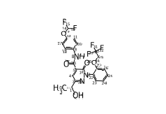 C[C@@H](O)c1cc(C(=O)Nc2ccc(OC(F)F)cc2)c(=O)n(-c2ccccc2OCC(F)(F)F)n1